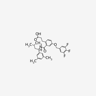 Cc1cc(C)cc(C(CC(C)C)NC(=O)c2cc(OCc3cc(F)c(F)c(F)c3)ccc2CCC(=O)O)c1